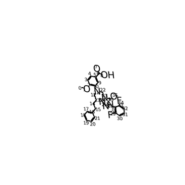 COc1ccc(C(=O)O)cc1N(CCCCc1ccccc1)Cn1nnn(-c2c(F)cccc2F)c1=O